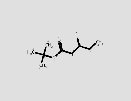 CCC(I)CC(=O)OC(C)(C)C